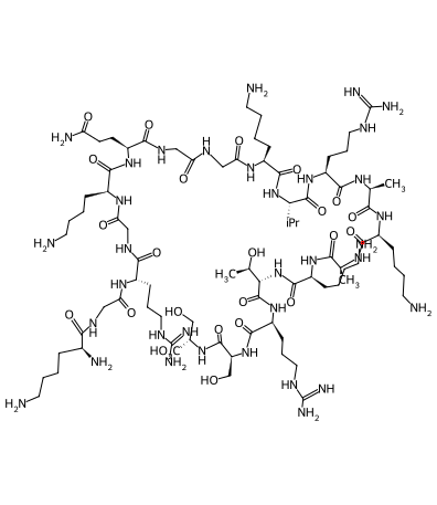 CC(C)[C@H](NC(=O)[C@H](CCCCN)NC(=O)CNC(=O)CNC(=O)[C@H](CCC(N)=O)NC(=O)[C@H](CCCCN)NC(=O)CNC(=O)[C@H](CCCNC(=N)N)NC(=O)CNC(=O)[C@@H](N)CCCCN)C(=O)N[C@@H](CCCNC(=N)N)C(=O)N[C@@H](C)C(=O)N[C@@H](CCCCN)C(=O)N[C@@H](C)C(=O)N[C@@H](CCCCN)C(=O)N[C@H](C(=O)N[C@@H](CCCNC(=N)N)C(=O)N[C@@H](CO)C(=O)N[C@@H](CO)C(=O)O)[C@@H](C)O